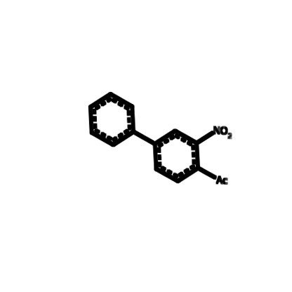 CC(=O)c1ccc(-c2ccccc2)cc1[N+](=O)[O-]